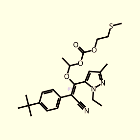 CCn1nc(C)cc1/C(OC(C)OC(=O)OCCSC)=C(\C#N)c1ccc(C(C)(C)C)cc1